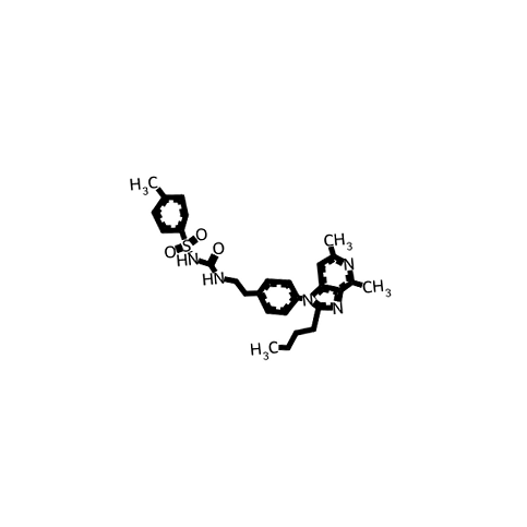 CCCCc1nc2c(C)nc(C)cc2n1-c1ccc(CCNC(=O)NS(=O)(=O)c2ccc(C)cc2)cc1